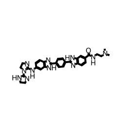 CN(C)CCNC(=O)c1ccc2nc(-c3ccc(-c4nc5ccc(NC6=NCCN6C6=NCCN6)cc5[nH]4)cc3)[nH]c2c1